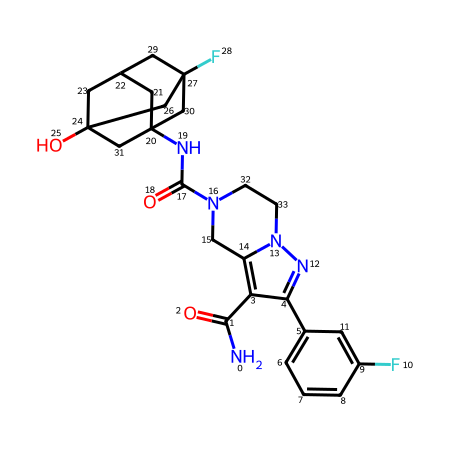 NC(=O)c1c(-c2cccc(F)c2)nn2c1CN(C(=O)NC13CC4CC(O)(CC(F)(C4)C1)C3)CC2